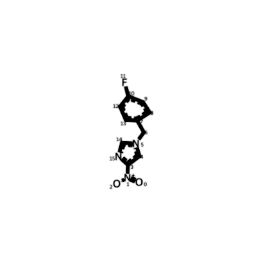 O=[N+]([O-])c1cn(Cc2ccc(F)cc2)cn1